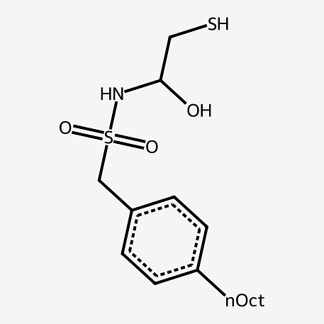 CCCCCCCCc1ccc(CS(=O)(=O)NC(O)CS)cc1